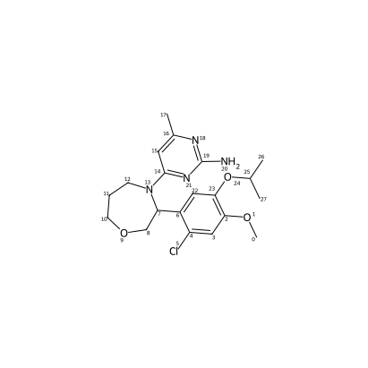 COc1cc(Cl)c(C2COCCCN2c2cc(C)nc(N)n2)cc1OC(C)C